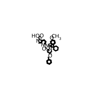 COc1ccc(C2(C(=O)N3C[C@@H](OCc4ccccc4)C[C@@H]3C(=O)Nc3ccc4c(cnn4C(=O)O)n3)CCCCC2)cc1